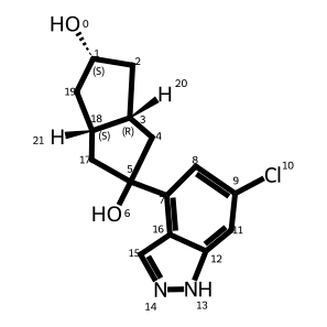 O[C@@H]1C[C@@H]2CC(O)(c3cc(Cl)cc4[nH]ncc34)C[C@@H]2C1